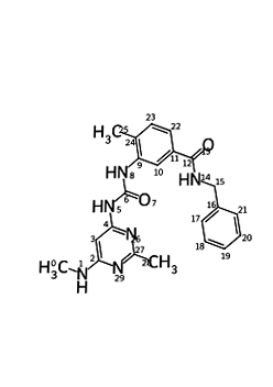 CNc1cc(NC(=O)Nc2cc(C(=O)NCc3ccccc3)ccc2C)nc(C)n1